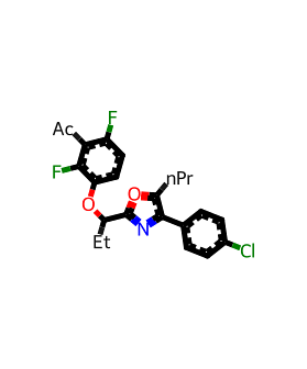 CCCc1oc(C(CC)Oc2ccc(F)c(C(C)=O)c2F)nc1-c1ccc(Cl)cc1